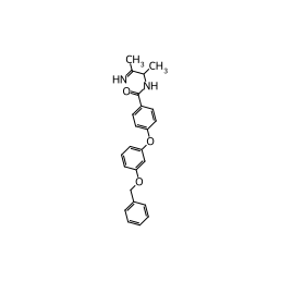 CC(=N)C(C)NC(=O)c1ccc(Oc2cccc(OCc3ccccc3)c2)cc1